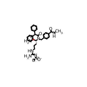 CNC(=O)c1ccc(CN(C(=O)C(c2ccccc2)c2ccccc2)[C@H](CCCNC(N)=N[N+](=O)[O-])C(N)=O)cc1